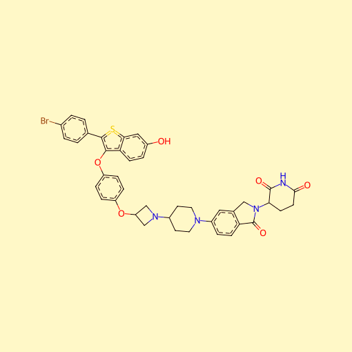 O=C1CCC(N2Cc3cc(N4CCC(N5CC(Oc6ccc(Oc7c(-c8ccc(Br)cc8)sc8cc(O)ccc78)cc6)C5)CC4)ccc3C2=O)C(=O)N1